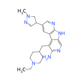 CCN1CCC(Cc2c(N)ncc3[nH]c4ncc(C5C=NN(C)C5)cc4c23)CC1